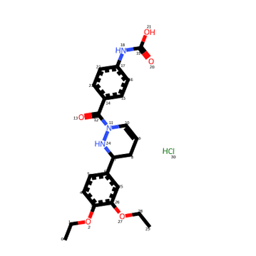 CCOc1ccc(C2CC=CN(C(=O)c3ccc(NC(=O)O)cc3)N2)cc1OCC.Cl